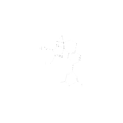 CC1=NC2(N=C1N)c1cc(-c3cc(F)cc(F)c3)ccc1CCC21CC1